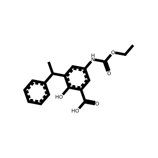 CCOC(=O)Nc1cc(C(=O)O)c(O)c(C(C)c2ccccc2)c1